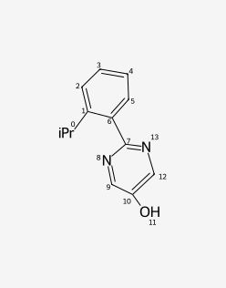 CC(C)c1ccccc1-c1ncc(O)cn1